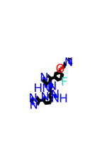 CN(C)CCOc1cc(F)cc(-c2cncc3[nH]c(-c4n[nH]c5ccc(-c6cncnc6)nc45)nc23)c1